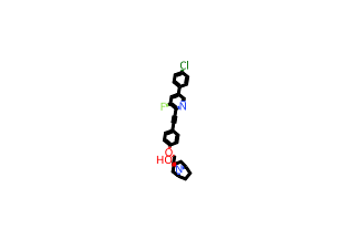 OC1CC2CCC(C1)N2CCOc1ccc(C#Cc2ncc(-c3ccc(Cl)cc3)cc2F)cc1